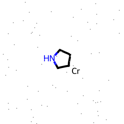 C1CCNC1.[Cr]